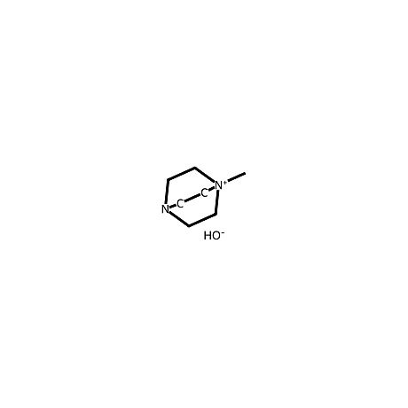 C[N+]12CCN(CC1)CC2.[OH-]